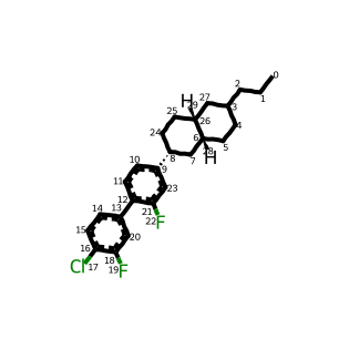 CCCC1CC[C@@H]2C[C@H](c3ccc(-c4ccc(Cl)c(F)c4)c(F)c3)CC[C@@H]2C1